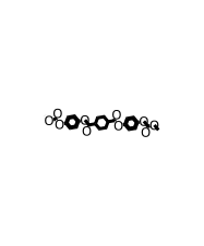 COC(=O)Oc1ccc(OC(=O)C2CCC(C(=O)Oc3ccc(OC(=O)OC)cc3)CC2)cc1